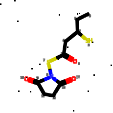 CCC(S)CC(=O)SN1C(=O)CCC1=O